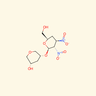 O=[N+]([O-])[C@@H]1[C@@H](O[C@H]2COC[C@@H](O)C2)O[C@@H](CO)C[C@H]1[N+](=O)[O-]